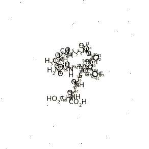 C[C@H](NC(=O)CCCCCN1C(=O)C=CC1=O)C(=O)N[C@@H](C)C(=O)N[C@@H](CC(=O)NCCCN(C(=O)CSCCC(=O)NCCC(=O)N[C@@H](CCC(=O)O)C(=O)O)[C@@H](c1cc(-c2cc(F)ccc2F)cn1Cc1ccccc1)C(C)(C)C)C(N)=O